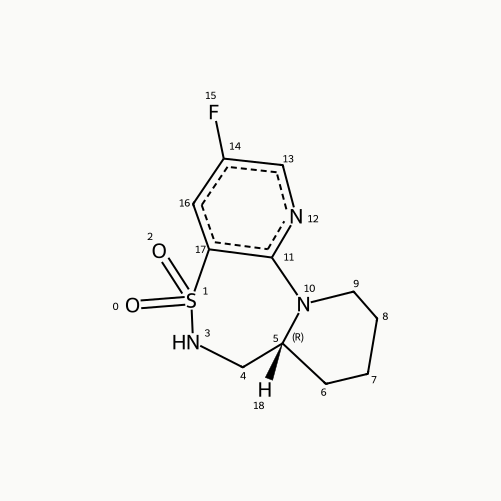 O=S1(=O)NC[C@H]2CCCCN2c2ncc(F)cc21